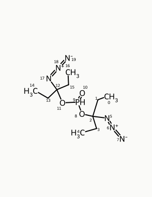 CCC(CC)(N=[N+]=[N-])O[PH](=O)OC(CC)(CC)N=[N+]=[N-]